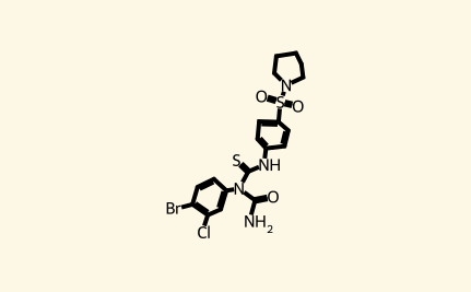 NC(=O)N(C(=S)Nc1ccc(S(=O)(=O)N2CCCCC2)cc1)c1ccc(Br)c(Cl)c1